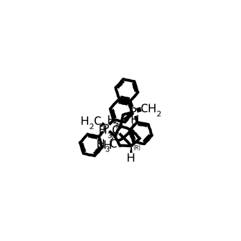 C=P(C[C@@H]1[C@H](P(=C)(c2ccccc2)c2ccccc2)C[C@H]2C[C@@H]1C2(C)C)(c1ccccc1)c1ccccc1